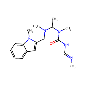 C/N=C/NC(=O)N(C)C(C)N(C)Cc1cc2ccccc2n1C